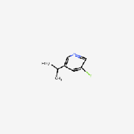 CC(C(=O)O)c1cncc(F)c1